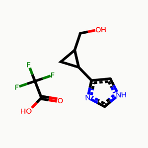 O=C(O)C(F)(F)F.OCC1CC1c1c[nH]cn1